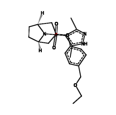 CCOCc1ccc(OC2C[C@H]3CC[C@@H](C2)N3S(=O)(=O)c2c(C)n[nH]c2C)cc1